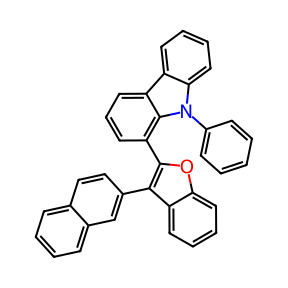 c1ccc(-n2c3ccccc3c3cccc(-c4oc5ccccc5c4-c4ccc5ccccc5c4)c32)cc1